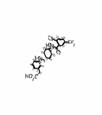 O=C(O)Cc1cccc(NC[C@H]2CC[C@H](NC(=O)c3cc(C(F)(F)F)ccc3Cl)CC2)c1